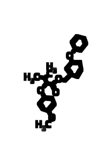 COc1ccc(OC(C(=O)OCc2cccc(Oc3ccccc3)c2)C(C)C)cc1